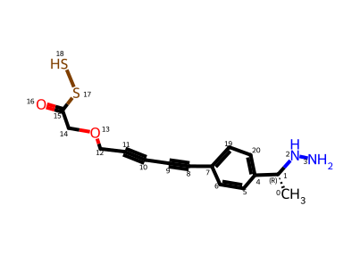 C[C@@H](NN)c1ccc(C#CC#CCOCC(=O)SS)cc1